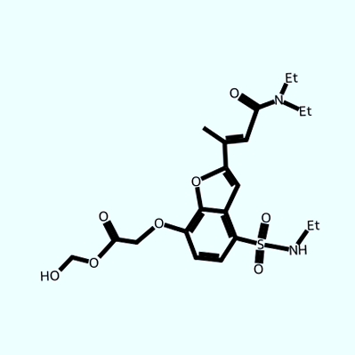 CCNS(=O)(=O)c1ccc(OCC(=O)OCO)c2oc(/C(C)=C/C(=O)N(CC)CC)cc12